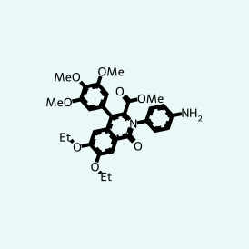 CCOc1cc2c(-c3cc(OC)c(OC)c(OC)c3)c(C(=O)OC)n(-c3ccc(N)cc3)c(=O)c2cc1OCC